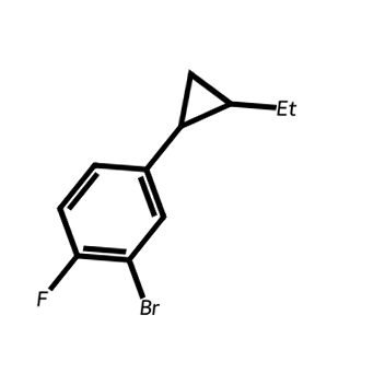 CCC1CC1c1ccc(F)c(Br)c1